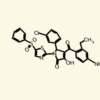 CCc1cc(N)ccc1C(=O)C1=C(O)C(=O)N(c2ncc(S(=O)(=O)c3ccccc3)s2)C1c1cccc(Cl)c1